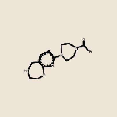 CC(C)C(=O)N1CCN(c2ccc3c(n2)OCCNC3)CC1